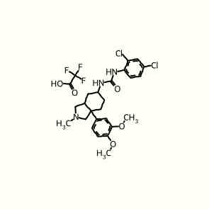 COc1ccc(C23CCC(NC(=O)Nc4ccc(Cl)cc4Cl)CC2CN(C)C3)cc1OC.O=C(O)C(F)(F)F